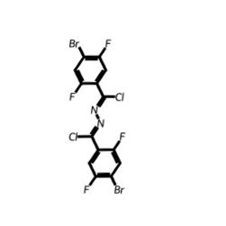 Fc1cc(C(Cl)=NN=C(Cl)c2cc(F)c(Br)cc2F)c(F)cc1Br